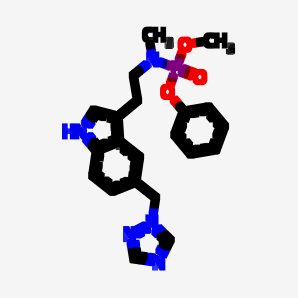 COP(=O)(Oc1ccccc1)N(C)CCc1c[nH]c2ccc(Cn3cncn3)cc12